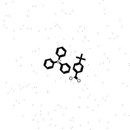 CC(C)(C)c1ccc(C(=O)[O-])cc1.c1ccc([S+](c2ccccc2)c2ccccc2)cc1